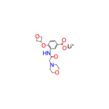 O=C(CN1CCOCC1)Nc1cc(C(=O)[O-])ccc1OC1COC1.[Li+]